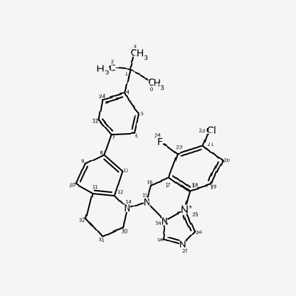 CC(C)(C)c1ccc(-c2ccc3c(c2)N(N2Cc4c(ccc(Cl)c4F)-[n+]4cncn42)CCC3)cc1